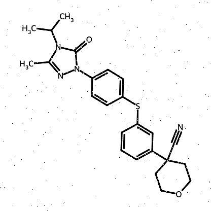 Cc1nn(-c2ccc(Sc3cccc(C4(C#N)CCOCC4)c3)cc2)c(=O)n1C(C)C